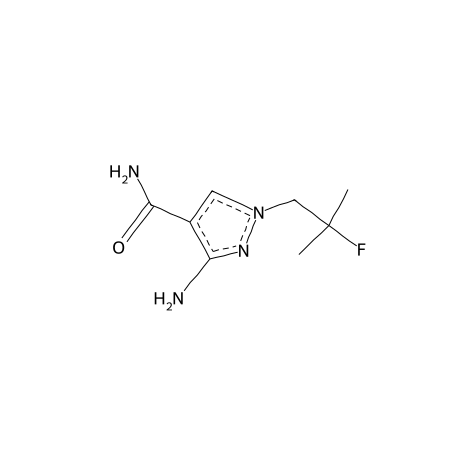 CC(C)(F)Cn1cc(C(N)=O)c(N)n1